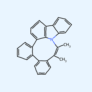 Cc1c(C)n2c3ccccc3c3cccc(c4ccccc4c4ccccc14)c32